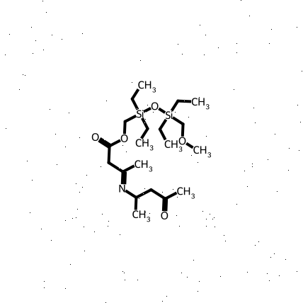 CC[Si](CC)(COC)O[Si](CC)(CC)COC(=O)C/C(C)=N/C(C)CC(C)=O